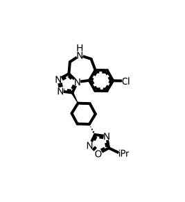 CC(C)c1nc([C@H]2CC[C@H](c3nnc4n3-c3ccc(Cl)cc3CNC4)CC2)no1